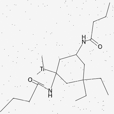 CCCC(=O)NC1CC(CC)(CC)C[C](NC(=O)CCC)([Ti]([CH3])[CH3])C1